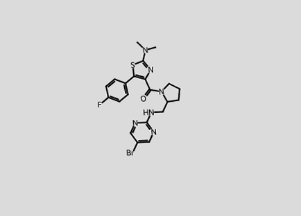 CN(C)c1nc(C(=O)N2CCCC2CNc2ncc(Br)cn2)c(-c2ccc(F)cc2)s1